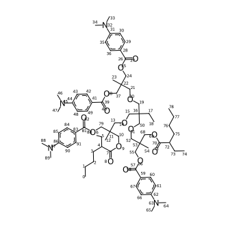 CCCCC(CC)C(=O)OCC(C)(COCC(CC)(COCC(C)(COC(=O)c1ccc(N(C)C)cc1)COC(=O)c1ccc(N(C)C)cc1)COCC(C)(COC(=O)c1ccc(N(C)C)cc1)COC(=O)C(CC)CCCC)COC(=O)c1ccc(N(C)C)cc1